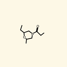 CCC(=O)N1CC(C)OC(CC)C1